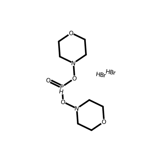 Br.Br.O=[PH](ON1CCOCC1)ON1CCOCC1